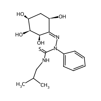 CC(C)CNC(=S)N(/N=C1/[C@H](O)C[C@H](O)[C@H](O)[C@@H]1O)c1ccccc1